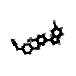 N#CCC1CCC(Nc2nc(-c3cnc4ccc(F)cn34)ncc2N)CC1